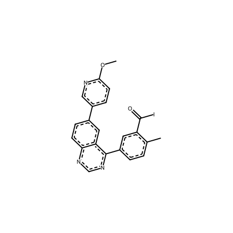 COc1ccc(-c2ccc3ncnc(-c4ccc(C)c(C(=O)I)c4)c3c2)cn1